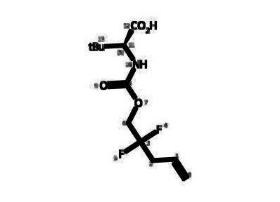 C=CCC(F)(F)COC(=O)N[C@H](C(=O)O)C(C)(C)C